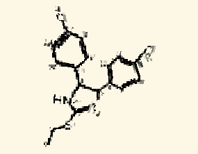 CCSC1=NC(c2ccc(Cl)cc2)C(c2ccc(Cl)cc2)N1